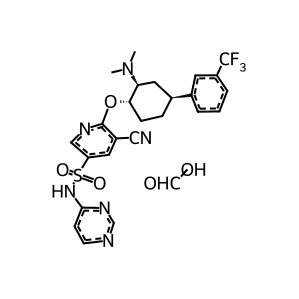 CN(C)[C@H]1C[C@@H](c2cccc(C(F)(F)F)c2)CC[C@@H]1Oc1ncc(S(=O)(=O)Nc2ccncn2)cc1C#N.O=CO